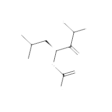 CC(C)C[C@H](NC(=O)O)C(=O)C(Cl)Cl